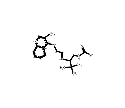 CC(C)(C)C(CNC(=O)O)OCCNc1c(N)cnc2ccccc12